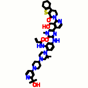 C=CC(=O)Nc1cc(Nc2nc(-c3ccnc(N4CCc5c(sc6c5CCCC6)C4=O)c3CO)cn(C)c2=O)ccc1N1CCN(C2CCN(c3ccnc(C(C)(C)O)c3)CC2)C[C@@H]1C